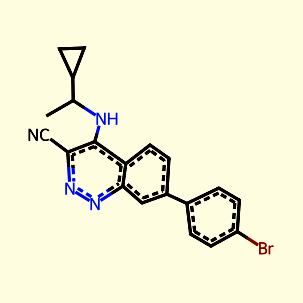 CC(Nc1c(C#N)nnc2cc(-c3ccc(Br)cc3)ccc12)C1CC1